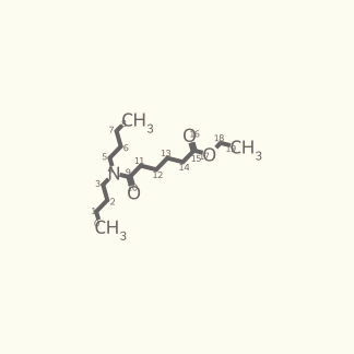 CCCCN(CCCC)C(=O)CCCCC(=O)OCC